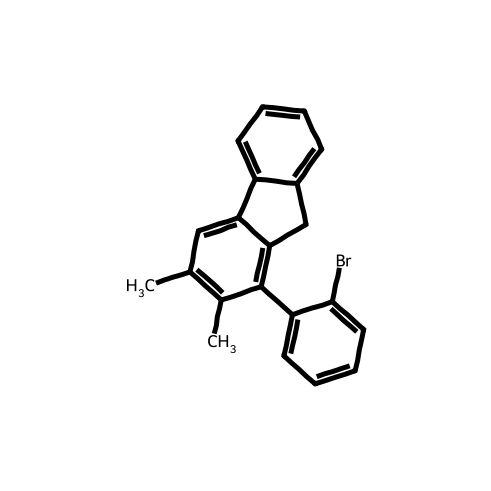 Cc1cc2c(c(-c3ccccc3Br)c1C)Cc1ccccc1-2